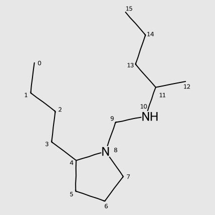 CCCCC1CCCN1CNC(C)CCC